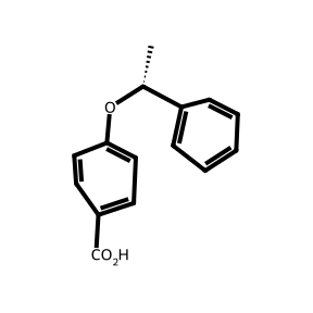 C[C@@H](Oc1ccc(C(=O)O)cc1)c1ccccc1